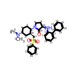 CC(C)N(C)[C@@H]1CC[C@H](N2CCC(Nc3ccccc3-c3ccccc3)C2=O)[C@@H](CS(=O)(=O)c2ccccc2)C1